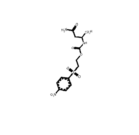 NC(=O)CC(NC(=O)OCCS(=O)(=O)c1ccc([N+](=O)[O-])cc1)C(=O)O